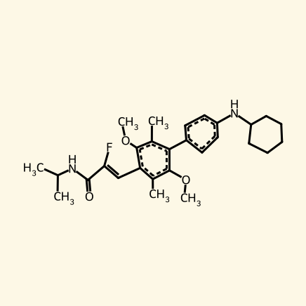 COc1c(C)c(-c2ccc(NC3CCCCC3)cc2)c(OC)c(C)c1/C=C(\F)C(=O)NC(C)C